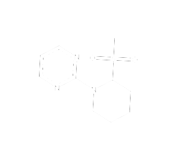 CS(=O)(=O)C1CCCCN1c1ncccn1